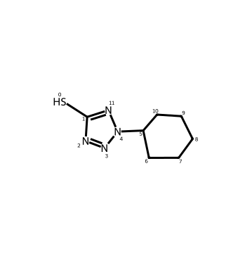 Sc1nnn(C2CCCCC2)n1